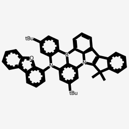 CC(C)(C)c1ccc2c(c1)N(c1cccc3c1oc1ccccc13)c1cc(C(C)(C)C)cc3c1B2C1=CC=CC2C4C5=C(N3C124)C(C)(C)c1ccccc15